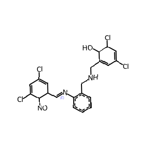 O=NC1C(Cl)=CC(Cl)=CC1/C=N/c1ccccc1CNCC1=CC(Cl)=CC(Cl)C1O